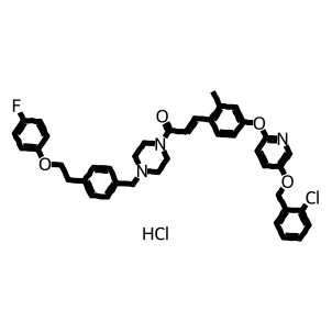 Cc1cc(Oc2ccc(OCc3ccccc3Cl)cn2)ccc1C=CC(=O)N1CCN(Cc2ccc(CCOc3ccc(F)cc3)cc2)CC1.Cl